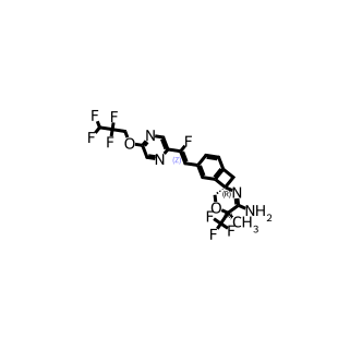 C[C@@]1(C(F)(F)F)OC[C@]2(Cc3ccc(/C=C(\F)c4cnc(OCC(F)(F)C(F)F)cn4)cc32)N=C1N